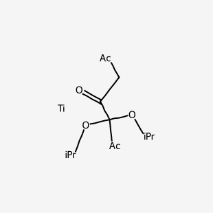 CC(=O)CC(=O)C(OC(C)C)(OC(C)C)C(C)=O.[Ti]